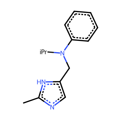 Cc1ncc(CN(c2ccccc2)C(C)C)[nH]1